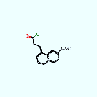 COc1ccc2cccc(CCC(=O)Cl)c2c1